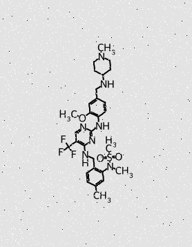 COc1cc(CNC2CCN(C)CC2)ccc1Nc1ncc(C(F)(F)F)c(NCc2ccc(C)cc2N(C)S(C)(=O)=O)n1